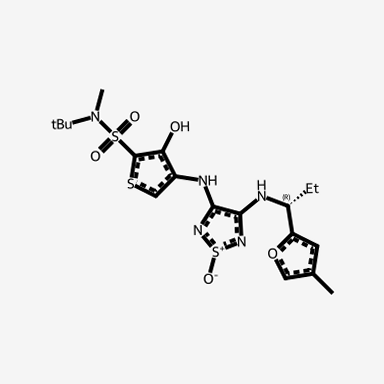 CC[C@@H](Nc1n[s+]([O-])nc1Nc1csc(S(=O)(=O)N(C)C(C)(C)C)c1O)c1cc(C)co1